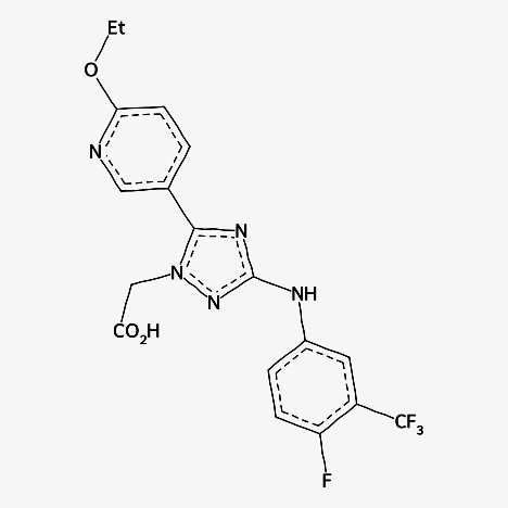 CCOc1ccc(-c2nc(Nc3ccc(F)c(C(F)(F)F)c3)nn2CC(=O)O)cn1